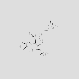 CCS(=O)(=O)NCCCNc1nc2sc(C(N)=O)c(N)c2c(-c2cc3ccccc3o2)c1C#N